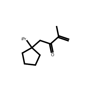 C=C(C)C(=O)CC1(C(C)C)CCCC1